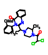 COc1ccccc1-n1c(C(C)N2CCN(C(=O)C(Cl)Cl)C(C)C2)nc2ccccc2c1=O